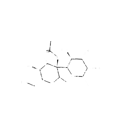 CC(=O)N[C@@]1(C2O[C@@H](C)[C@@H](O)[C@@H](O)[C@@H]2O)C(O)O[C@H](CO)[C@@H](O)[C@@H]1O